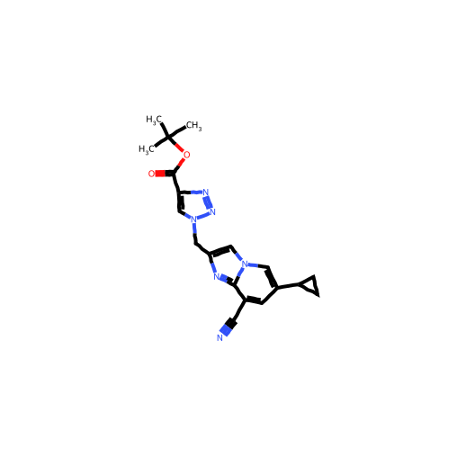 CC(C)(C)OC(=O)c1cn(Cc2cn3cc(C4CC4)cc(C#N)c3n2)nn1